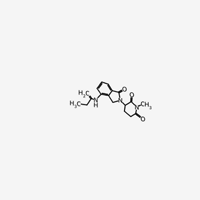 C=C(CC)Nc1cccc2c1CN(C1CCC(=O)N(C)C1=O)C2=O